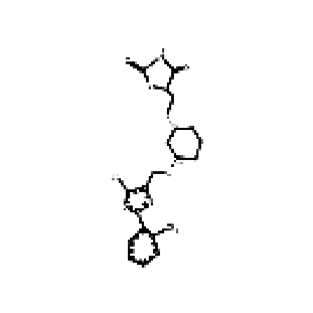 CCc1oc(-c2ccccc2C(F)(F)F)nc1CO[C@H]1CCC[C@@H](CCC2SC(=O)NC2=O)C1